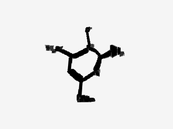 COc1cc(N)[n+]([O-])c(N)n1